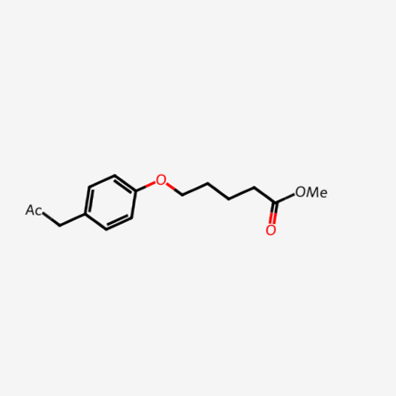 COC(=O)CCCCOc1ccc(CC(C)=O)cc1